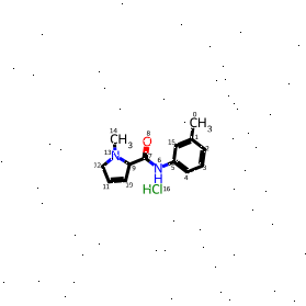 Cc1cccc(NC(=O)C2C=CCN2C)c1.Cl